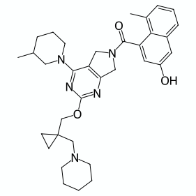 Cc1cccc2cc(O)cc(C(=O)N3Cc4nc(OCC5(CN6CCCCC6)CC5)nc(N5CCCC(C)C5)c4C3)c12